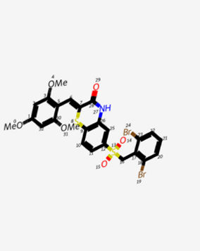 COc1cc(OC)c(/C=C2\Sc3ccc(S(=O)(=O)Cc4c(Br)cccc4Br)cc3NC2=O)c(OC)c1